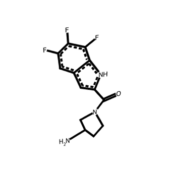 NC1CCN(C(=O)c2cc3cc(F)c(F)c(F)c3[nH]2)C1